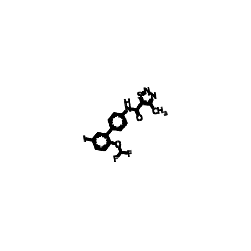 Cc1nnsc1C(=O)Nc1ccc(-c2cc(I)ccc2OC(F)F)cc1